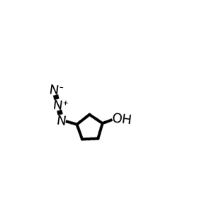 [N-]=[N+]=NC1CCC(O)C1